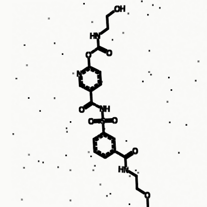 COCCNC(=O)c1cccc(S(=O)(=O)NC(=O)c2ccc(OC(=O)NCCO)nc2)c1